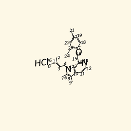 CC(C)=CCn1c(C)c(C)c2ccnc(COc3ccc(C)cc3C)c21.Cl